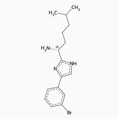 CC(C)CCC[C@@H](N)c1nc(-c2cccc(Br)c2)c[nH]1